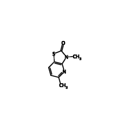 Cc1ccc2sc(=O)n(C)c2n1